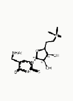 C=P(C)(C)CCC1O[C@@H](n2cc(CNC(C)=O)c(=O)[nH]c2=S)[C@H](O)[C@@H]1O